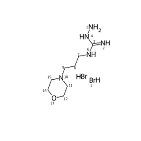 Br.Br.N=C(NN)NCCCN1CCOCC1